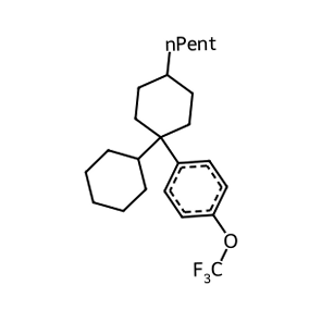 CCCCCC1CCC(c2ccc(OC(F)(F)F)cc2)(C2CCCCC2)CC1